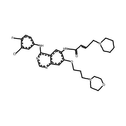 O=C(C=CCN1CCCCC1)Nc1cc2c(Nc3ccc(F)c(Cl)c3)ncnc2cc1OCCCN1CCOCC1